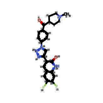 CN1CCC(C(=O)c2ccc(-n3cc(-c4cc5cc(F)c(F)cc5[nH]c4=O)nn3)cc2)CC1